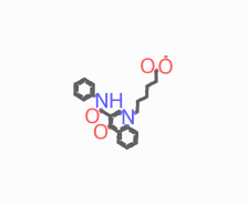 COC(=O)CCCCCn1cc(C(=O)Nc2ccccc2)c(=O)c2ccccc21